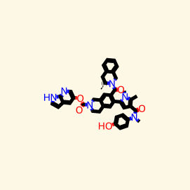 Cc1c(C(=O)N(C)c2ccc(O)cc2)cc(-c2cc3c(cc2C(=O)N2Cc4ccccc4C[C@H]2C)CN(C(=O)Oc2cnc4[nH]ccc4c2)CC3)n1C